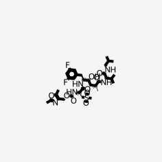 Cc1nc(COC(=O)N[C@@H](CS(C)(=O)=O)C(=O)N[C@@H](Cc2cc(F)cc(F)c2)[C@@H](O)C[C@@H](C)C(=O)N[C@H](C(=O)NCC(C)C)C(C)C)c(C)o1